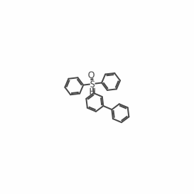 O=[SH](c1ccccc1)(c1ccccc1)c1cccc(-c2ccccc2)c1